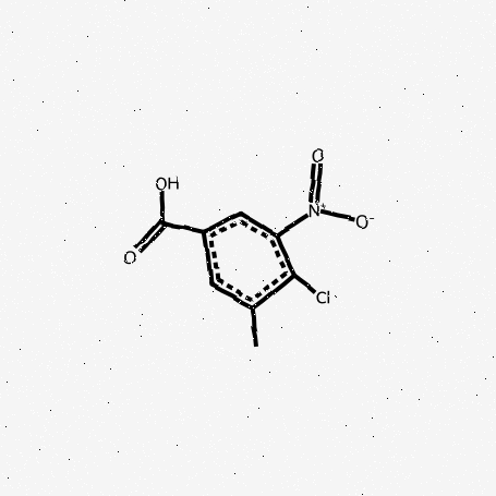 Cc1cc(C(=O)O)cc([N+](=O)[O-])c1Cl